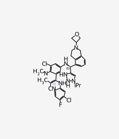 C=Nc1c(Cl)cc(N[C@H](C2=CN(C(C)C)NN2)c2cccc3c2CCN(C2COC2)C3)cc1/C(Nc1ccc(F)c(Cl)c1)=C(\C)C#N